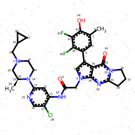 Cc1cc(-c2cn(CC(=O)Nc3cc(N4CCN(CC5CC5)C[C@@H]4C)ncc3Cl)c3nc4n(c(=O)c23)CCC4)c(F)c(F)c1O